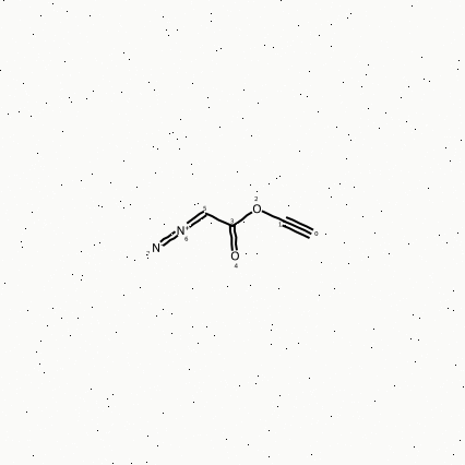 C#COC(=O)C=[N+]=[N-]